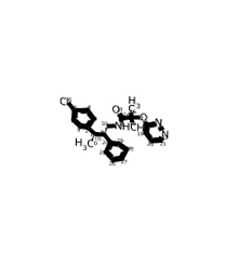 C[C@H](c1ccc(Cl)cc1)[C@H](CNC(=O)C(C)(C)Oc1cccnn1)c1ccccc1